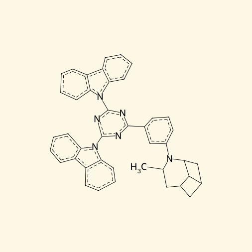 CC1CC2CC3CC(C23)N1c1cccc(-c2nc(-n3c4ccccc4c4ccccc43)nc(-n3c4ccccc4c4ccccc43)n2)c1